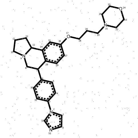 c1cn(-c2ccc(C3CN4CCCC4c4cc(OCCCN5CCOCC5)ccc43)cc2)cn1